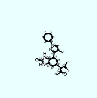 Cc1cn(-c2ccccc2)nc1-c1cc(-c2c(C)noc2C)cc2[nH]c(=O)[nH]c12